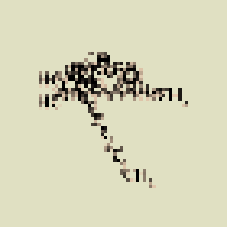 CCCCCCCCCCCCCCN(C(=O)CCCCCCCCCCC)[C@@H]1O[C@H](CO)[C@@H](O)[C@H](O)[C@H]1NC(=O)[C@H](C)NC(=O)OCc1ccccc1